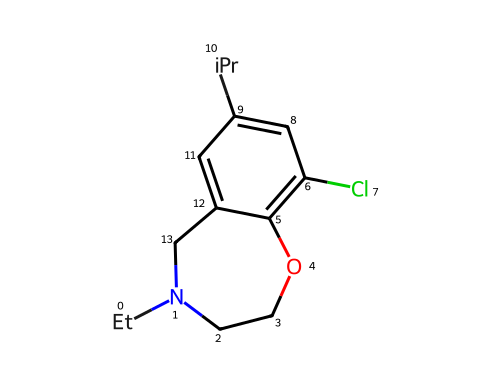 CCN1CCOc2c(Cl)cc(C(C)C)cc2C1